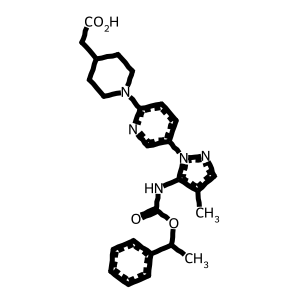 Cc1cnn(-c2ccc(N3CCC(CC(=O)O)CC3)nc2)c1NC(=O)OC(C)c1ccccc1